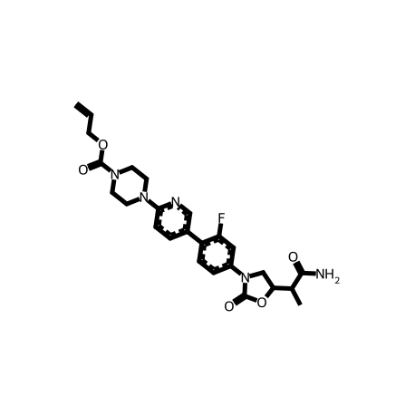 C=CCOC(=O)N1CCN(c2ccc(-c3ccc(N4CC(C(C)C(N)=O)OC4=O)cc3F)cn2)CC1